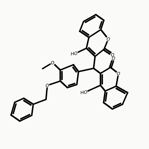 COc1cc(C(c2c(O)c3ccccc3oc2=O)c2c(O)c3ccccc3oc2=O)ccc1OCc1ccccc1